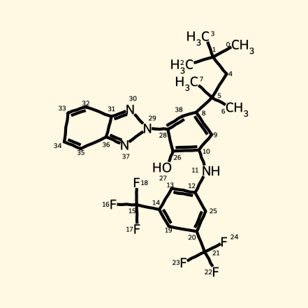 CC(C)(C)CC(C)(C)c1cc(Nc2cc(C(F)(F)F)cc(C(F)(F)F)c2)c(O)c(-n2nc3ccccc3n2)c1